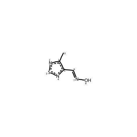 Cc1nsnc1C=NO